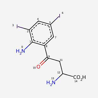 Nc1c(I)cc(I)cc1C(=O)CC(N)C(=O)O